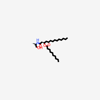 [CH2][C@H](CO)NC(=O)C[C@@H](CCCCCCCCCCC)OC(=O)CCCCCCCCC